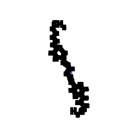 CCCCCC[C@H]1CC[C@H](C#C/C=C/C#Cc2ccc(CCCC)cc2)CC1